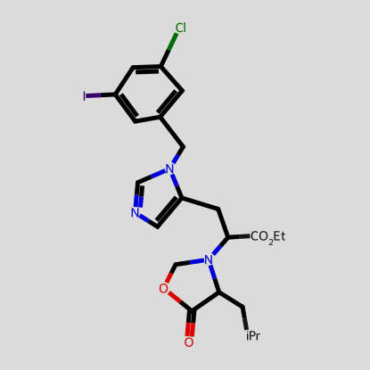 CCOC(=O)C(Cc1cncn1Cc1cc(Cl)cc(I)c1)N1COC(=O)C1CC(C)C